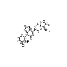 Cc1nc(N2CCC3(CC2)CO[C@@H](C)[C@H]3N)c2nccn2c1-c1cccc(Cl)c1F